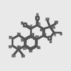 CC1OC2=C(C(=O)C(=O)c3c2ccc2c3CCCC2(C)C)C1(C)C